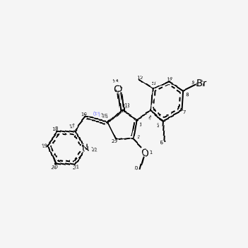 COC1=C(c2c(C)cc(Br)cc2C)C(=O)/C(=C/c2ccccn2)C1